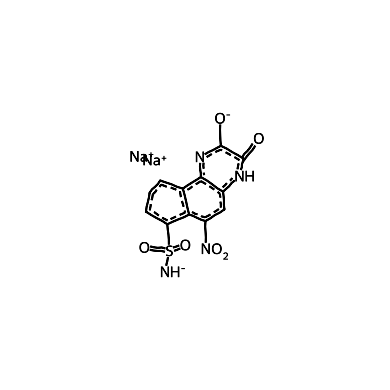 [NH-]S(=O)(=O)c1cccc2c1c([N+](=O)[O-])cc1[nH]c(=O)c([O-])nc12.[Na+].[Na+]